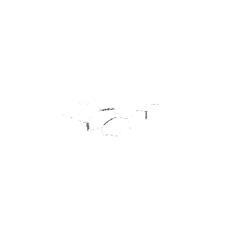 CCOC(=O)CC(=O)CC1NCCc2cc(OC)c(OC)cc21